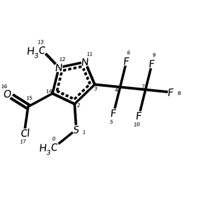 CSc1c(C(F)(F)C(F)(F)F)nn(C)c1C(=O)Cl